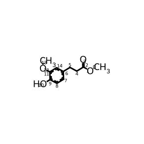 COC(=O)CCc1ccc(O)c(OC)c1